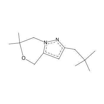 CC(C)(C)Cc1cc2n(n1)CC(C)(C)OC2